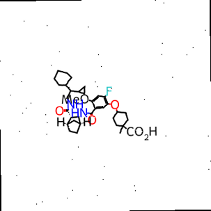 COc1cc(F)c(OC2CCC(C)(C(=O)O)CC2)cc1C(=O)N[C@@H]1[C@H]2CC[C@H](C2)[C@@H]1C(=O)NCC(C1CCCCC1)C1CC1